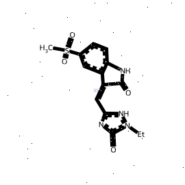 CCn1[nH]c(/C=C2\C(=O)Nc3ccc(S(C)(=O)=O)cc32)nc1=O